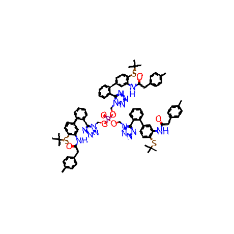 Cc1ccc(CC(=O)Nc2cc(-c3ccccc3-c3nnnn3COP(=O)(OCn3nnnc3-c3ccccc3-c3ccc(SC(C)(C)C)c(NC(=O)Cc4ccc(C)cc4)c3)OCn3nnnc3-c3ccccc3-c3ccc(SC(C)(C)C)c(NC(=O)Cc4ccc(C)cc4)c3)ccc2SC(C)(C)C)cc1